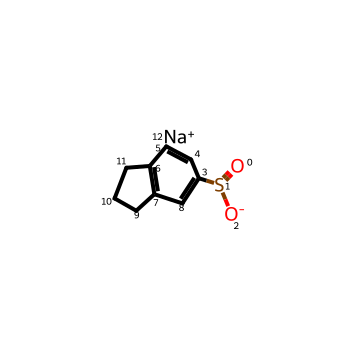 O=S([O-])c1ccc2c(c1)CCC2.[Na+]